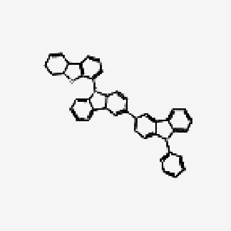 C1=CC2c3cccc(N4c5ccccc5C5C=C(C6C=c7c(n(-c8ccccc8)c8ccccc78)=CC6)C=CC54)c3OC2CC1